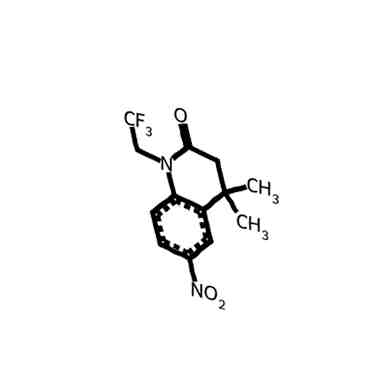 CC1(C)CC(=O)N(CC(F)(F)F)c2ccc([N+](=O)[O-])cc21